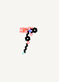 O=C1c2ccccc2CN1[C@@](CO)(CCc1ccc(OCCCCCCF)cc1)OP(=O)(O)O